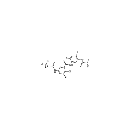 O=C(Nc1cc(NC(=O)C(F)F)c(F)cc1F)c1cc(NC(=O)C2CC2(Cl)Cl)cc(F)c1Cl